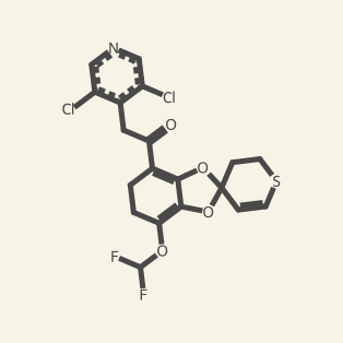 O=C(Cc1c(Cl)cncc1Cl)C1=C2OC3(C=CSCC3)OC2=C(OC(F)F)CC1